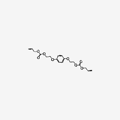 C=CCOC(=O)OCCOc1ccc(OCCOC(=O)OCC=C)cc1